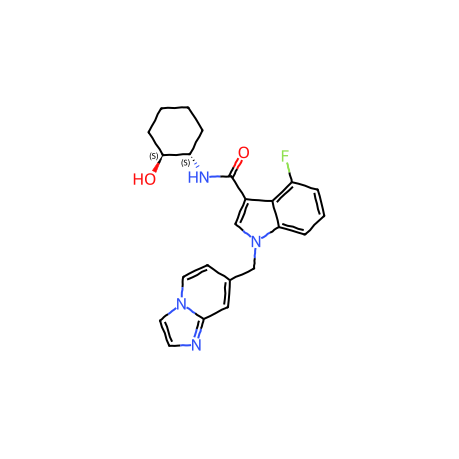 O=C(N[C@H]1CCCC[C@@H]1O)c1cn(Cc2ccn3ccnc3c2)c2cccc(F)c12